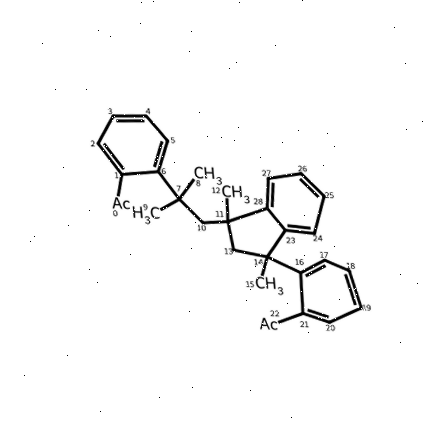 CC(=O)c1ccccc1C(C)(C)CC1(C)CC(C)(c2ccccc2C(C)=O)c2ccccc21